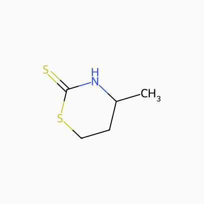 CC1CCSC(=S)N1